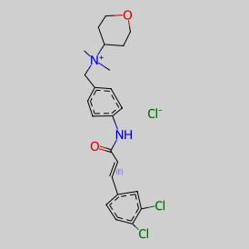 C[N+](C)(Cc1ccc(NC(=O)/C=C/c2ccc(Cl)c(Cl)c2)cc1)C1CCOCC1.[Cl-]